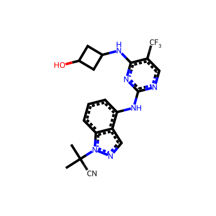 CC(C)(C#N)n1ncc2c(Nc3ncc(C(F)(F)F)c(NC4CC(O)C4)n3)cccc21